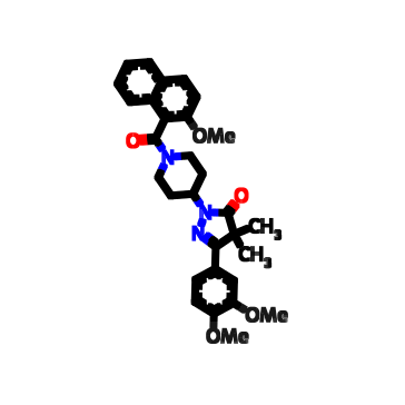 COc1ccc(C2=NN(C3CCN(C(=O)c4c(OC)ccc5ccccc45)CC3)C(=O)C2(C)C)cc1OC